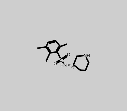 Cc1ccc(C)c(S(=O)(=O)N[C@H]2CCCNC2)c1C